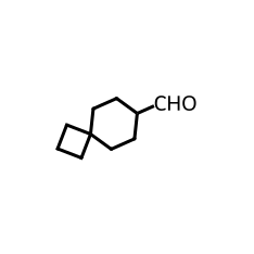 O=CC1CCC2(CCC2)CC1